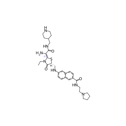 CCN1C(=O)[C@@H](CNc2ccc3cc(C(=O)NCCN4CCCC4)ccc3c2)S/C1=C(/N)C(=O)NCC1CCNCC1